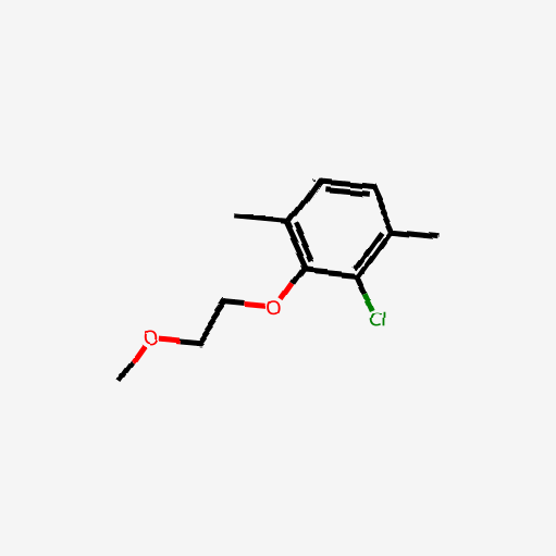 COCCOc1c(C)[c]cc(C)c1Cl